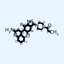 C=CC(=O)N1CCN(c2snc3c(F)c(-c4cc(N)nc5ccccc45)c(Cl)cc23)CC1